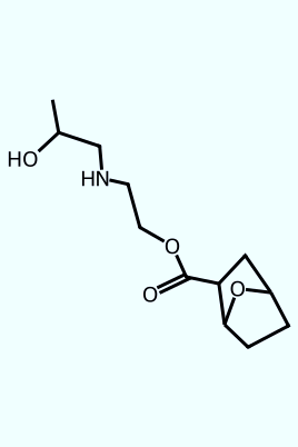 CC(O)CNCCOC(=O)C1CC2CCC1O2